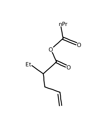 C=CCC(CC)C(=O)OC(=O)CCC